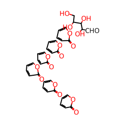 O=CC(O)C(O)C(O)CO.O=c1cccco1.O=c1cccco1.O=c1cccco1.O=c1cccco1.O=c1cccco1.O=c1cccco1